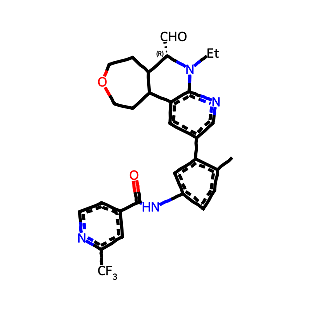 CCN1c2ncc(-c3cc(NC(=O)c4ccnc(C(F)(F)F)c4)ccc3C)cc2C2CCOCCC2[C@@H]1C=O